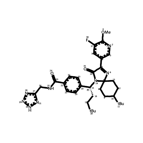 COc1ncc(C2=NC3(CCC(C(C)(C)C)CC3)N([C@H](CCC(C)(C)C)c3ccc(C(=O)NCc4nn[nH]n4)cc3)C2=O)cc1F